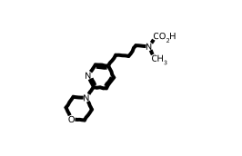 CN(CCCc1ccc(N2CCOCC2)nc1)C(=O)O